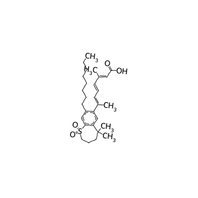 CCCCCCCCc1cc2c(cc1C(C)=CC=CC(C)=CC(=O)O)C(C)(C)CCCS2(=O)=O